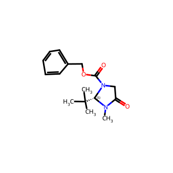 CN1C(=O)CN(C(=O)OCc2ccccc2)[C@H]1C(C)(C)C